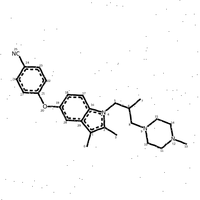 Cc1c(C)n(CC(C)CN2CCN(C)CC2)c2ccc(Oc3ccc(C#N)cc3)cc12